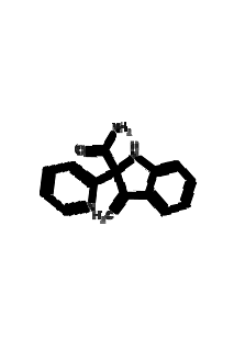 C=C1c2ccccc2NC1(C(N)=O)c1ccccn1